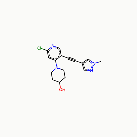 Cn1cc(C#Cc2cnc(Cl)cc2N2CCC(O)CC2)cn1